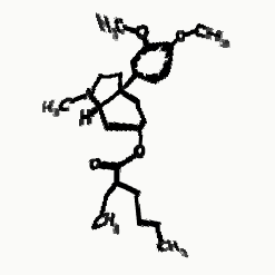 CCCCC(CC)C(=O)OC1=C[C@@H]2N(C)CC[C@]2(c2ccc(OC)c(OC)c2)CC1